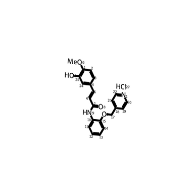 COc1ccc(/C=C/C(=O)Nc2ccccc2OCc2ccncc2)cc1O.Cl